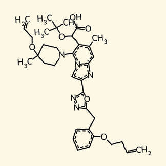 C=CCCOc1ccccc1Cc1nnc(-c2cn3c(N4CCC(C)(OCC=C)CC4)c(C(OC(C)(C)C)C(=O)O)c(C)cc3n2)o1